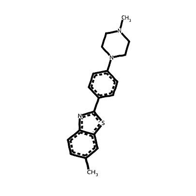 Cc1ccc2nc(-c3ccc(N4CCN(C)CC4)cc3)sc2c1